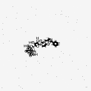 O=c1ccn([C@@H]2O[C@H](COP(=O)(O)OP(=O)(O)OP(=O)(O)O)[C@H](O)[C@@H]2O)c(=O)n1Cc1cnc(-c2ccccc2)o1